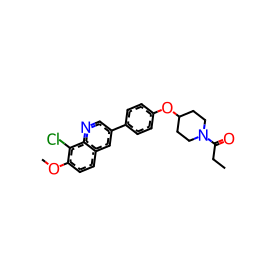 CCC(=O)N1CCC(Oc2ccc(-c3cnc4c(Cl)c(OC)ccc4c3)cc2)CC1